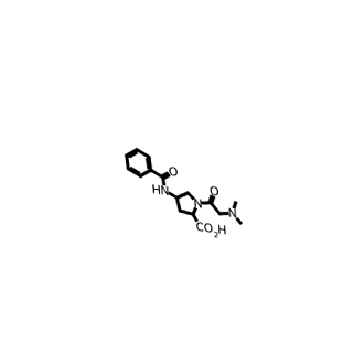 CN(C)CC(=O)N1CC(NC(=O)c2ccccc2)CC1C(=O)O